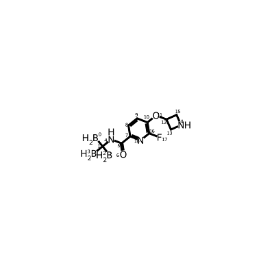 BC(B)(B)NC(=O)c1ccc(OC2CNC2)c(F)n1